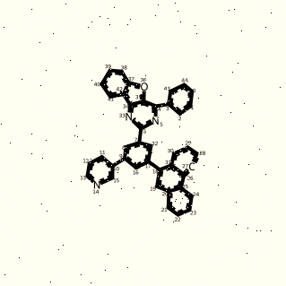 c1ccc(-c2nc(-c3cc(-c4cccnc4)cc(-c4cc5ccccc5c5ccccc45)c3)nc3c2oc2ccccc23)cc1